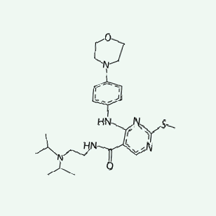 CSc1ncc(C(=O)NCCN(C(C)C)C(C)C)c(Nc2ccc(N3CCOCC3)cc2)n1